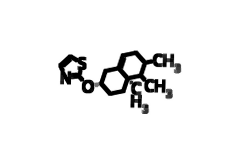 CC1CC=C2C[C@@H](Oc3nccs3)CC[C@]2(C)C1C